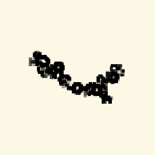 CC(C)Oc1cc2nc(C3CCC(CN4CCC(c5cccc6c5n(C)c(=O)n6C5CCC(=O)NC5=O)CC4)CC3)cn2cc1NC(=O)c1cccc(C(F)(F)F)n1